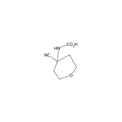 N#CC1(NC(=O)O)CCOCC1